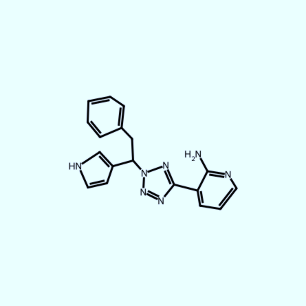 Nc1ncccc1-c1nnn(C(Cc2ccccc2)c2cc[nH]c2)n1